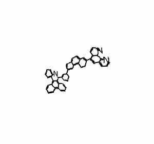 C1=CC2C(C3=Cc4ccc5ccc(C6C=C(c7nc8ccccc8c8c9ccccc9c9ccccc9c78)C=CC6)cc5c4CC3)=Cc3cccnc3C2N=C1